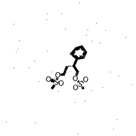 CS(=O)(=O)OCC[C@@H](COS(C)(=O)=O)c1ccccc1